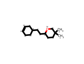 CC1(C)CCC(CCC2CC=CCC2)OC1